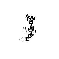 COc1ccc2c(ccn2CC(=O)N2CCN(c3ccc(S(=O)(=O)Nc4nccs4)cc3)CC2C)c1